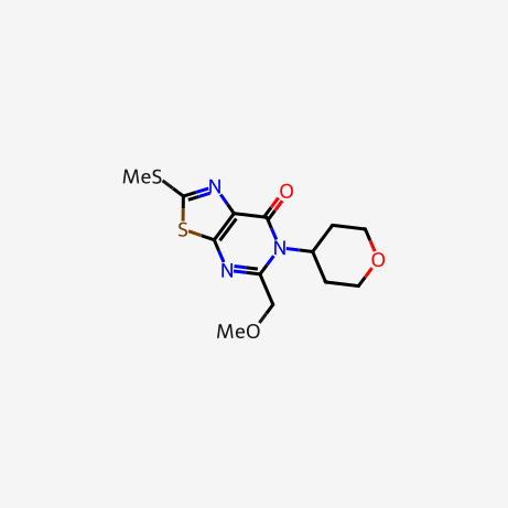 COCc1nc2sc(SC)nc2c(=O)n1C1CCOCC1